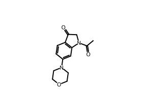 CC(=O)N1CC(=O)c2ccc(N3CCOCC3)cc21